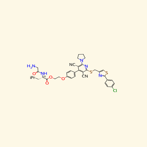 CC(C)C[C@H](NC(=O)CN)C(=O)OCCOc1ccc(-c2c(C#N)c(SCc3csc(-c4ccc(Cl)cc4)n3)nc(N3CCCC3)c2C#N)cc1